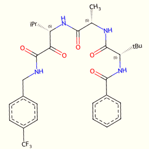 CC(C)[C@H](NC(=O)[C@H](C)NC(=O)[C@@H](NC(=O)c1ccccc1)C(C)(C)C)C(=O)C(=O)NCc1ccc(C(F)(F)F)cc1